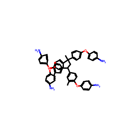 Cc1cc(C(CC(C)(c2ccc(Oc3ccc(N)cc3)cc2)c2ccc(Oc3ccc(N)cc3)cc2)c2ccc(Oc3ccc(N)cc3)c(C)c2)ccc1Oc1ccc(N)cc1